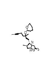 CC#CCCC(C)(/C=C/[C@@H]1[C@H]2CC(=O)O[C@H]2C[C@H]1C)OC1CCCCO1